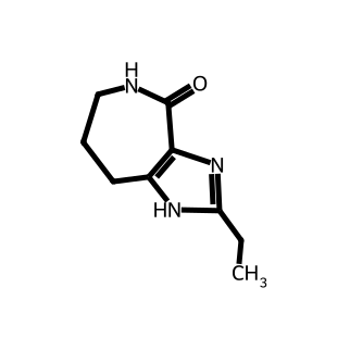 CCc1nc2c([nH]1)CCCNC2=O